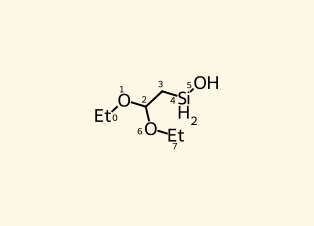 CCOC(C[SiH2]O)OCC